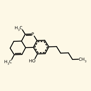 CCCCCc1cc(O)c2c(c1)P=C(C)C1CCC(C)=CC21